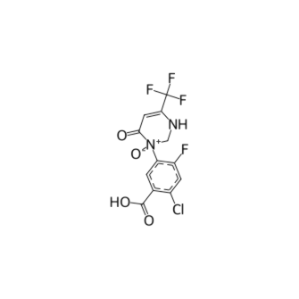 O=C(O)c1cc([N+]2([O-])CNC(C(F)(F)F)=CC2=O)c(F)cc1Cl